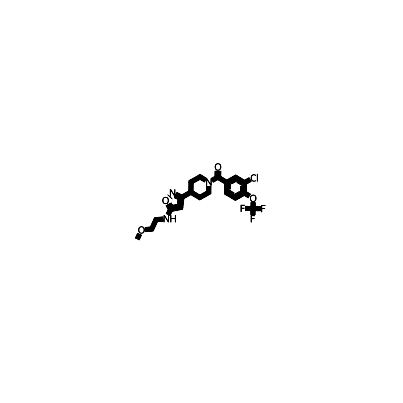 COCCNc1cc(C2CCN(C(=O)c3ccc(OC(F)(F)F)c(Cl)c3)CC2)no1